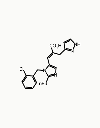 CCCCc1ncc(/C=C(\Cc2cc[nH]n2)C(=O)O)n1Cc1ccccc1Cl